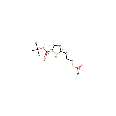 CC(=O)SCCC[C@@H]1CC[C@@H](C(=O)OC(C)(C)C)S1